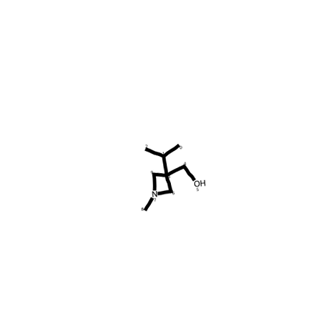 CC(C)C1(CO)CN(C)C1